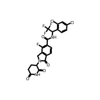 O=C1CCC(N2Cc3c(ccc(C(=O)NC(c4ccc(Cl)cc4Cl)C(F)(F)F)c3F)C2=O)C(=O)N1